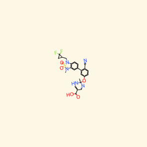 CN1c2cc(-c3cc(OC4(C)N=CC(C(=O)O)=CN4)ccc3C#N)ccc2N(CC2CC2(F)F)S1(=O)=O